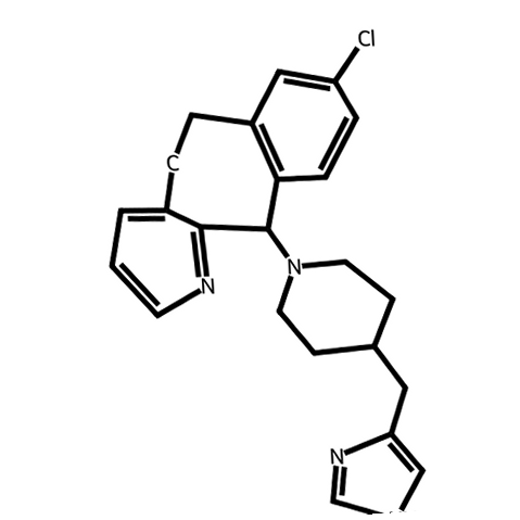 Clc1ccc2c(c1)CCc1cccnc1C2N1CCC(Cc2c[nH]cn2)CC1